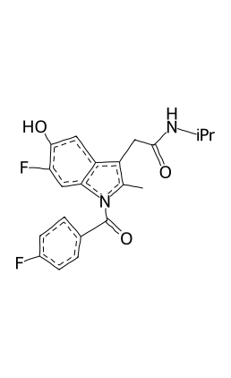 Cc1c(CC(=O)NC(C)C)c2cc(O)c(F)cc2n1C(=O)c1ccc(F)cc1